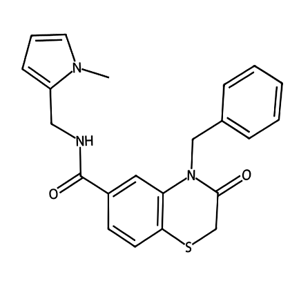 Cn1cccc1CNC(=O)c1ccc2c(c1)N(Cc1ccccc1)C(=O)CS2